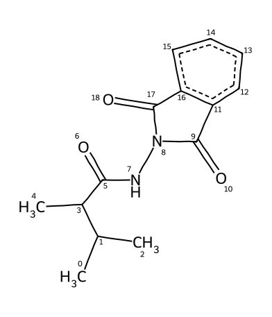 CC(C)C(C)C(=O)NN1C(=O)c2ccccc2C1=O